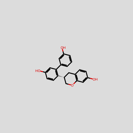 Oc1cccc(-c2cc(O)ccc2[C@H]2COc3cc(O)ccc3C2)c1